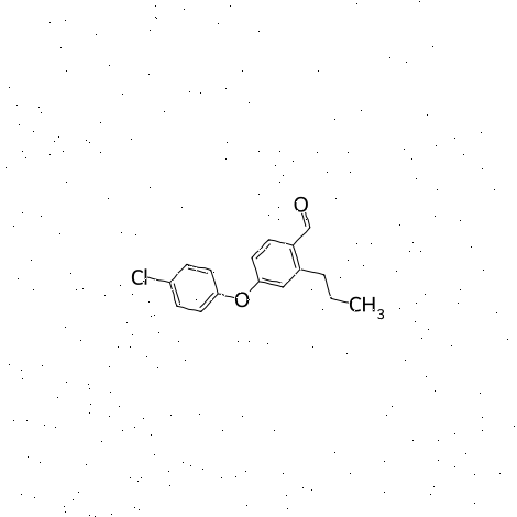 CCCc1cc(Oc2ccc(Cl)cc2)ccc1C=O